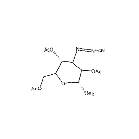 CS[C@@H]1OC(COC(C)=O)[C@H](OC(C)=O)C(N=[N+]=[N-])C1OC(C)=O